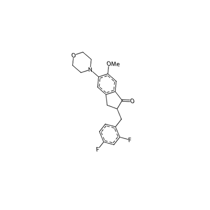 COc1cc2c(cc1N1CCOCC1)CC(Cc1ccc(F)cc1F)C2=O